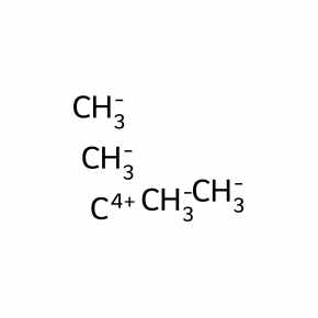 [C+4].[CH3-].[CH3-].[CH3-].[CH3-]